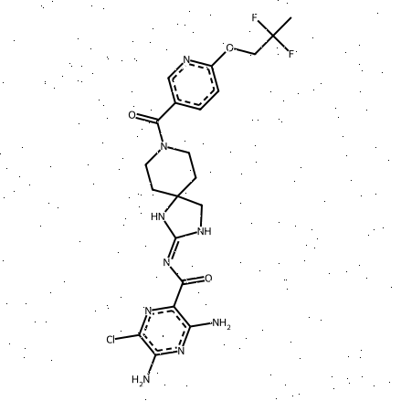 CC(F)(F)COc1ccc(C(=O)N2CCC3(CC2)CN/C(=N\C(=O)c2nc(Cl)c(N)nc2N)N3)cn1